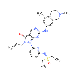 C=CCn1c(=O)c2cnc(Nc3cc(C)c4c(c3)CN(C)CC4)nc2n1-c1cccc(N=S(=O)(CC)CC)n1